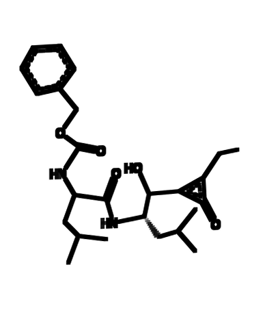 CCc1c(C(O)[C@H](CC(C)C)NC(=O)C(CC(C)C)NC(=O)OCc2ccccc2)c1=O